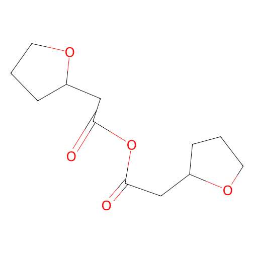 O=C(CC1CCCO1)OC(=O)CC1CCCO1